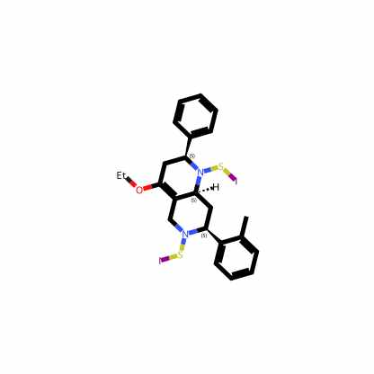 CCOC1=C2CN(SI)[C@H](c3ccccc3C)C[C@@H]2N(SI)[C@H](c2ccccc2)C1